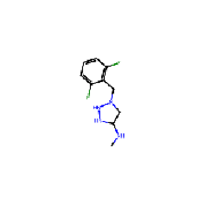 CNC1CN(Cc2c(F)cccc2F)NN1